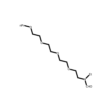 CCCOCCOCCOCCOCCN(C=O)CC